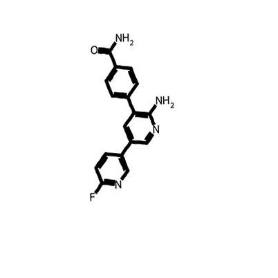 NC(=O)c1ccc(-c2cc(-c3ccc(F)nc3)cnc2N)cc1